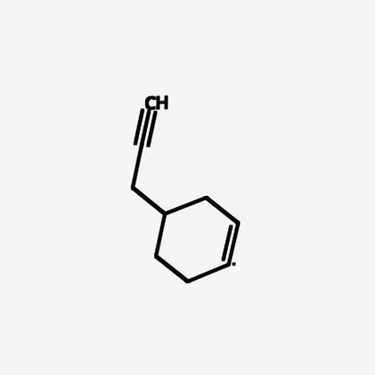 C#CCC1CC=[C]CC1